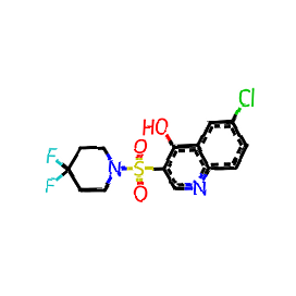 O=S(=O)(c1cnc2ccc(Cl)cc2c1O)N1CCC(F)(F)CC1